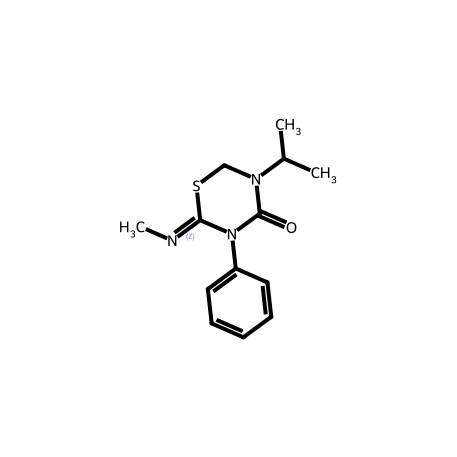 C/N=C1\SCN(C(C)C)C(=O)N1c1ccccc1